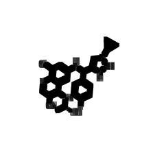 C[C@H](Nc1c(C#N)cnc2c(Cl)cc(NC(C3=CN(C4CC4)NN3)c3ccc(F)cc3)cc12)C(C)(C)C